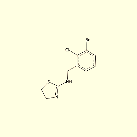 Clc1c(Br)cccc1CNC1=NCCS1